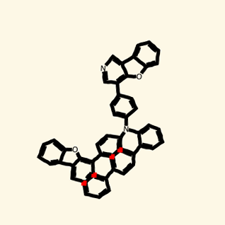 c1ccc(-c2ccc(-c3ccccc3N(c3ccc(-c4cncc5c4oc4ccccc45)cc3)c3ccc(-c4cncc5c4oc4ccccc45)cc3)cc2)cc1